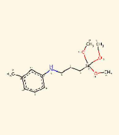 CO[Si](CCCNc1cccc(C)c1)(OC)OC